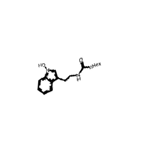 CCCCCCC(=O)NCCc1cn(O)c2ccccc12